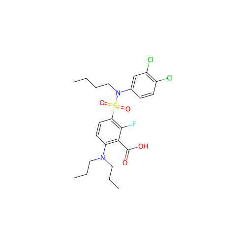 CCCCN(c1ccc(Cl)c(Cl)c1)S(=O)(=O)c1ccc(N(CCC)CCC)c(C(=O)O)c1F